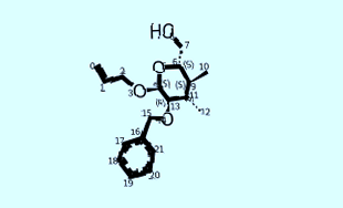 C=CCO[C@H]1O[C@H](CO)[C@@H](C)[C@H](C)[C@H]1OCc1ccccc1